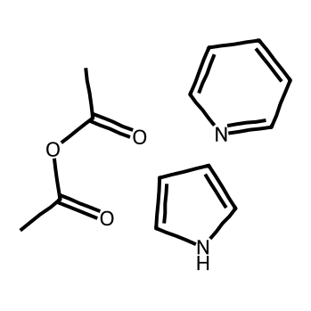 CC(=O)OC(C)=O.c1cc[nH]c1.c1ccncc1